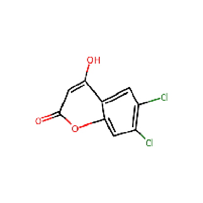 O=c1cc(O)c2cc(Cl)c(Cl)cc2o1